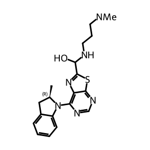 CNCCCNC(O)c1nc2c(N3c4ccccc4C[C@H]3C)ncnc2s1